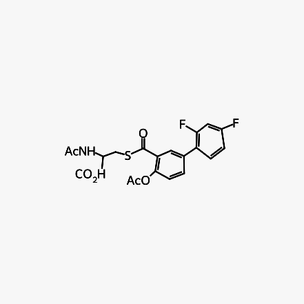 CC(=O)NC(CSC(=O)c1cc(-c2ccc(F)cc2F)ccc1OC(C)=O)C(=O)O